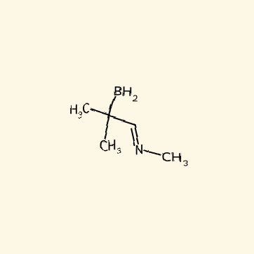 BC(C)(C)C=NC